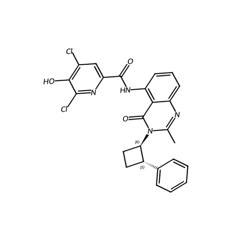 Cc1nc2cccc(NC(=O)c3cc(Cl)c(O)c(Cl)n3)c2c(=O)n1[C@@H]1CC[C@H]1c1ccccc1